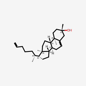 C=CCCC[C@@H](C)[C@H]1CC[C@H]2[C@@H]3CC=C4C[C@@](C)(O)CC[C@]4(C)[C@H]3CC[C@]12C